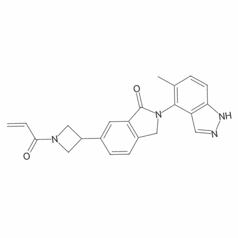 C=CC(=O)N1CC(c2ccc3c(c2)C(=O)N(c2c(C)ccc4[nH]ncc24)C3)C1